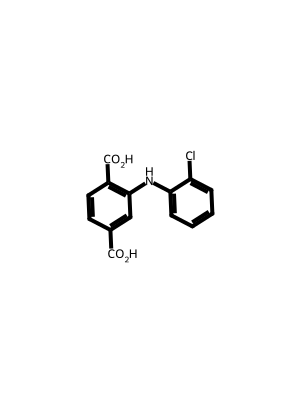 O=C(O)c1ccc(C(=O)O)c(Nc2ccccc2Cl)c1